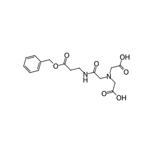 O=C(O)CN(CC(=O)O)CC(=O)NCCC(=O)OCc1ccccc1